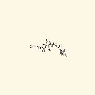 CC(C)(c1ccc(OCCCCl)c(Cl)c1)c1ccc(OCC(=O)CNS(C)(=O)=O)s1